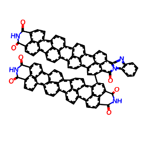 O=C1NC(=O)c2ccc3c4ccc5c6ccc7c8cc(-c9cc%10c%11c(ccc%12c%13ccc%14c%15ccc%16c%17ccc%18c%19c(ccc(c%20ccc(c%21ccc(c9c%11%12)c%13c%14%21)c%15c%16%20)c%19%17)C(=O)NC%18=O)C(=O)NC%10=O)c9c(=O)n%10c%11ccccc%11nc%10c%10ccc(c%11ccc(c%12ccc(c%13ccc1c2c%133)c4c%125)c6c%117)c8c9%10